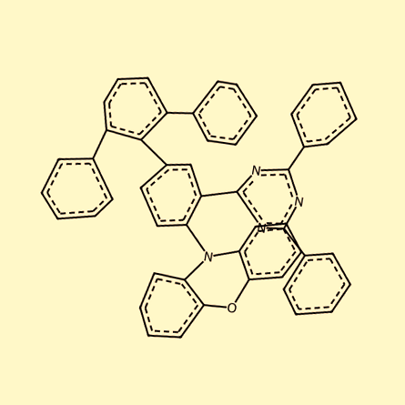 c1ccc(-c2nc(-c3ccccc3)nc(-c3cc(-c4c(-c5ccccc5)cccc4-c4ccccc4)ccc3N3c4ccccc4Oc4ccccc43)n2)cc1